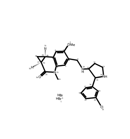 Br.Br.COc1cc2c(cc1CNC1CCNC1c1cccc(Cl)c1)N(C)C(=O)[C@H]1C[C@@H]21